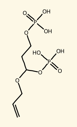 C=CCOC(CCOP(=O)(O)O)OP(=O)(O)O